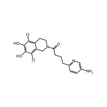 Nc1ccc(CCCC(=O)N2CCc3c(Cl)c(O)c(O)c(Cl)c3C2)nc1